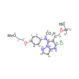 COCCOc1ccc(N(C(=O)O)c2c(CCO[Si](C)(C)C(C)(C)C)c(Cl)nc3ccnn23)cc1